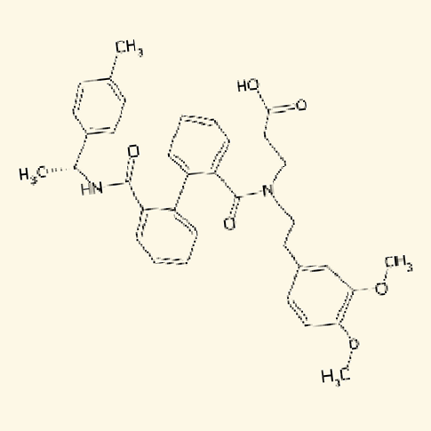 COc1ccc(CCN(CCC(=O)O)C(=O)c2ccccc2-c2ccccc2C(=O)N[C@H](C)c2ccc(C)cc2)cc1OC